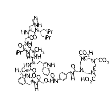 CC(C)CC(CC(C)C)NC(=O)[C@H](Cc1cnc[nH]1)NC(=O)CNC(=O)[C@@H](NC(=O)[C@H](C)NC(=O)[C@H](CCc1c[nH]c2ccccc12)NC(=O)[C@H](C)NC(=O)[C@@H](Cc1ccccc1)NC(=O)COCC(=O)Nc1ccc(CNC(=O)CN2CCN(CC(=O)O)CCN(CC(=O)O)CCN(CC(=O)O)CC2)cc1)C(C)C